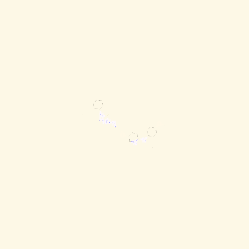 Cc1cc(N(C)c2ccc(OC(F)(F)F)cc2)nc(C)c1OC/C=N/NC(=S)Nc1ccccc1C(C)C